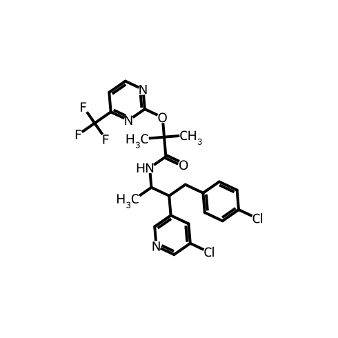 CC(NC(=O)C(C)(C)Oc1nccc(C(F)(F)F)n1)C(Cc1ccc(Cl)cc1)c1cncc(Cl)c1